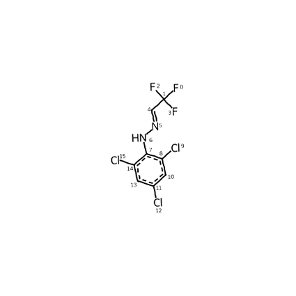 FC(F)(F)C=NNc1c(Cl)cc(Cl)cc1Cl